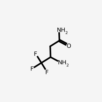 NC(=O)CC(N)C(F)(F)F